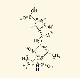 Cc1cc(Nc2ncnc3sc(C(=O)O)cc23)c(=O)n2c1C(=O)NC2(C)C